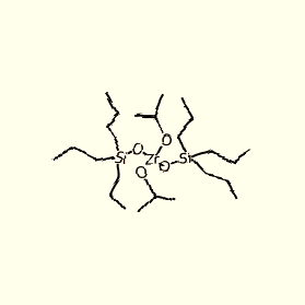 CCC[Si](CCC)(CCC)[O][Zr]([O]C(C)C)([O]C(C)C)[O][Si](CCC)(CCC)CCC